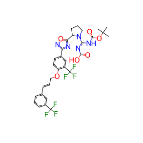 CC(C)(C)OC(=O)NC(=NC(=O)O)N1CCCC1c1nc(-c2ccc(OC/C=C/c3cccc(C(F)(F)F)c3)c(C(F)(F)F)c2)no1